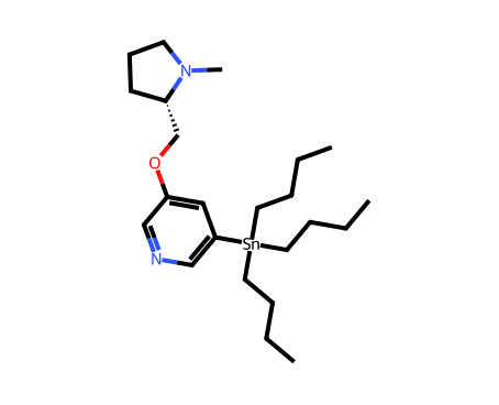 CCC[CH2][Sn]([CH2]CCC)([CH2]CCC)[c]1cncc(OC[C@@H]2CCCN2C)c1